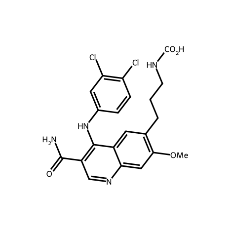 COc1cc2ncc(C(N)=O)c(Nc3ccc(Cl)c(Cl)c3)c2cc1CCCNC(=O)O